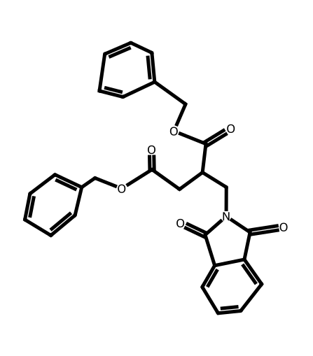 O=C(CC(CN1C(=O)c2ccccc2C1=O)C(=O)OCc1ccccc1)OCc1ccccc1